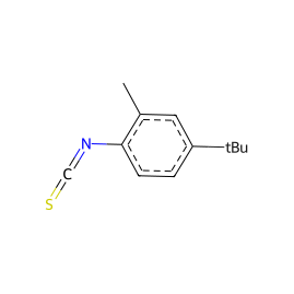 Cc1cc(C(C)(C)C)ccc1N=C=S